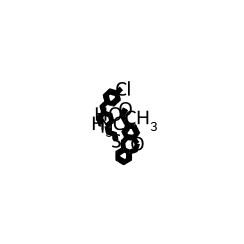 CC(C)(C(=O)O)c1ccc2c(c1)C(SCCN1CCC(Cc3ccc(Cl)cc3)CC1)c1ccccc1CO2